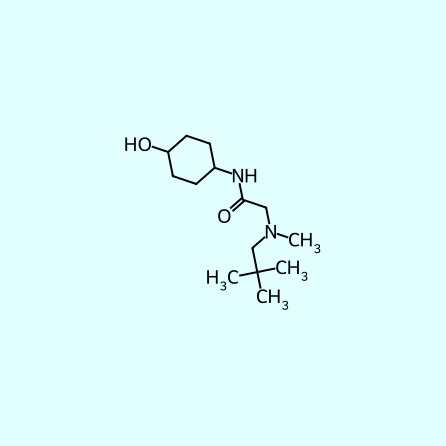 CN(CC(=O)NC1CCC(O)CC1)CC(C)(C)C